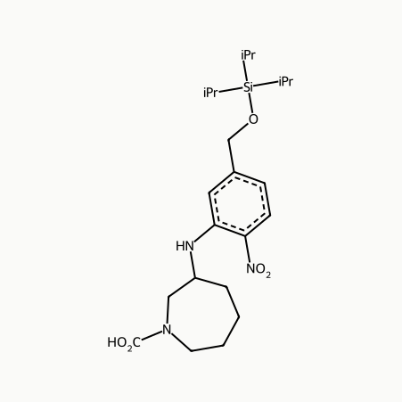 CC(C)[Si](OCc1ccc([N+](=O)[O-])c(NC2CCCCN(C(=O)O)C2)c1)(C(C)C)C(C)C